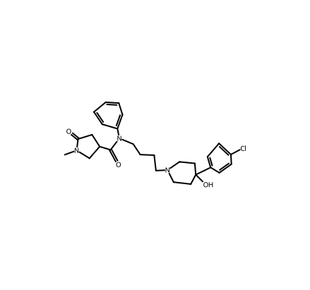 CN1CC(C(=O)N(CCCCN2CCC(O)(c3ccc(Cl)cc3)CC2)c2ccccc2)CC1=O